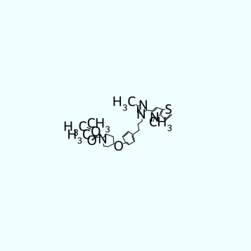 Cc1cn(CCCc2ccc(OC3CCN(C(=O)OC(C)(C)C)CC3)cc2)c(-c2cc3sccc3n2C)n1